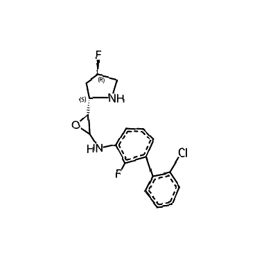 Fc1c(NC2OC2[C@@H]2C[C@@H](F)CN2)cccc1-c1ccccc1Cl